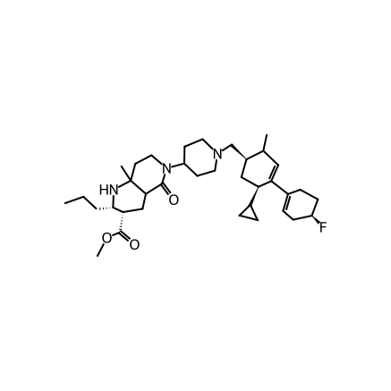 CCC[C@@H]1NC2(C)CCN(C3CCN(C[C@@H]4C[C@H](C5CC5)C(C5=CC[C@H](F)CC5)=CC4C)CC3)C(=O)C2C[C@@H]1C(=O)OC